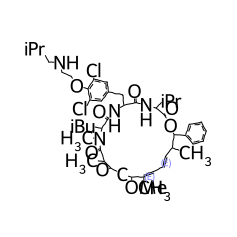 CCC(C)C1C(=O)NC(Cc2cc(Cl)c(OCCNCC(C)C)c(Cl)c2)C(=O)NC(C(C)C)C(=O)OC(c2ccccc2)C(C)/C=C/C=C(\C)C(OC)CC2OC2(C)C(=O)N1C